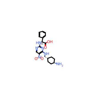 N[C@H]1CC[C@H](CNc2nc(N[C@H](C(=O)O)c3ccccc3)ncc2[N+](=O)[O-])CC1